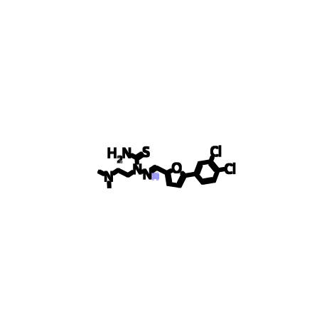 CN(C)CCN(/N=C/c1ccc(-c2ccc(Cl)c(Cl)c2)o1)C(N)=S